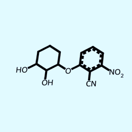 N#Cc1c(OC2CCCC(O)C2O)cccc1[N+](=O)[O-]